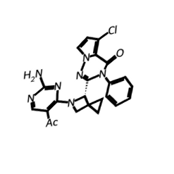 CC(=O)c1cnc(N)nc1N1CC2(CC2)[C@H]1c1nn2ccc(Cl)c2c(=O)n1-c1ccccc1